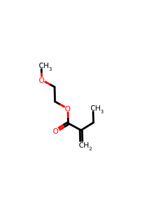 C=C(CC)C(=O)OCCOC